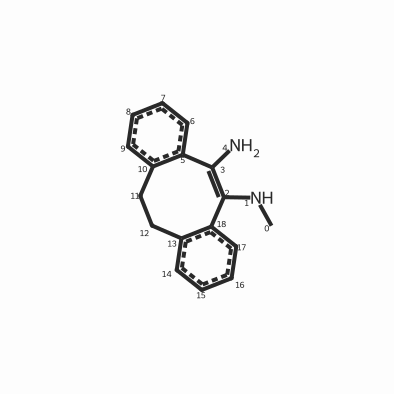 CN/C1=C(\N)c2ccccc2CCc2ccccc21